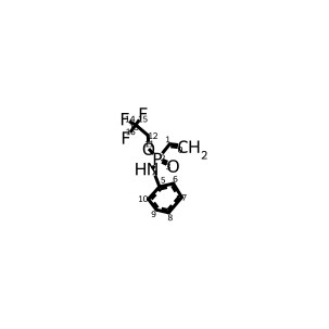 C=CP(=O)(Nc1ccccc1)OCC(F)(F)F